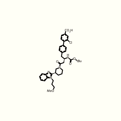 COCCCn1c([C@@H]2CCCN(C(=O)C[C@@H](Cc3ccc(-c4ccc(C(=O)O)cc4Cl)cc3)NC(=O)OC(C)(C)C)C2)nc2ccccc21